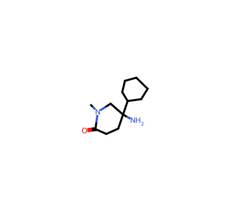 CN1CC(N)(C2CCCCC2)CCC1=O